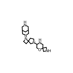 C1NCC2CC1CN(N1CCC13CCN(C1COC4(CNC4)CN1)C3)C2